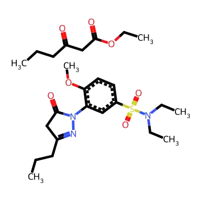 CCCC(=O)CC(=O)OCC.CCCC1=NN(c2cc(S(=O)(=O)N(CC)CC)ccc2OC)C(=O)C1